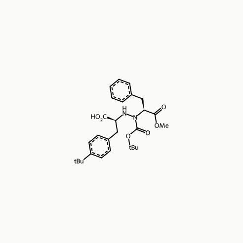 COC(=O)[C@H](Cc1ccccc1)N(N[C@@H](Cc1ccc(C(C)(C)C)cc1)C(=O)O)C(=O)OC(C)(C)C